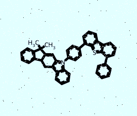 CC1(C)C2=Cc3c(c4ccccc4n3-c3ccc(-c4cccc5c4sc4c(-c6ccccc6)cccc45)cc3)CC2c2ccccc21